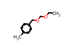 [CH2]COCOCc1ccc(C)cc1